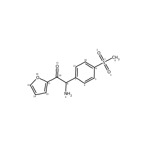 CS(=O)(=O)c1ccc(C(N)C(=O)c2ccco2)cc1